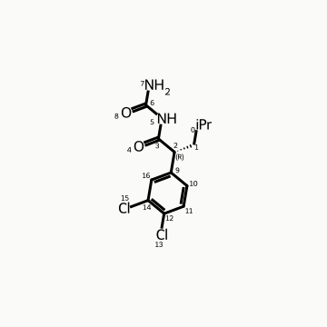 CC(C)C[C@@H](C(=O)NC(N)=O)c1ccc(Cl)c(Cl)c1